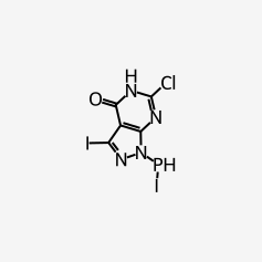 O=c1[nH]c(Cl)nc2c1c(I)nn2PI